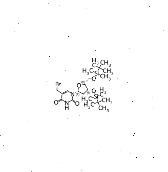 CC(C)(C)[Si](C)(C)OC[C@H]1O[C@@H](n2cc(CBr)c(=O)[nH]c2=O)C[C@H]1O[Si](C)(C)C(C)(C)C